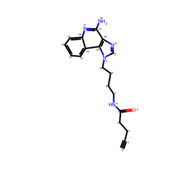 C#CCCC(=O)NCCCCn1cnc2c(N)nc3ccccc3c21